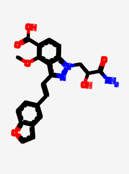 COc1c(C(=O)O)ccc2c1c(C=Cc1ccc3occc3c1)nn2CC(O)C(N)=O